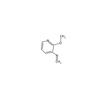 C=Nc1cccnc1OC